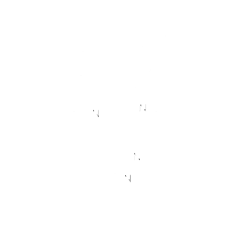 Cc1cc(C)cc(-c2ccc3c(c2)c2ccccc2n3-c2cc(-c3cc(-c4ccccc4)nc(-c4ccccc4)n3)cc(-n3c4ccccc4c4cc(-c5cc(C)cc(C)c5)ccc43)c2)c1